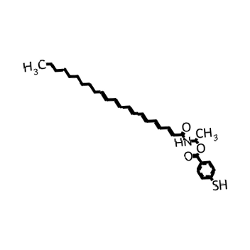 CCCCCCCCCC=CC=CC=CC=CC=CC=CC(=O)NC(C)OC(=O)c1ccc(S)cc1